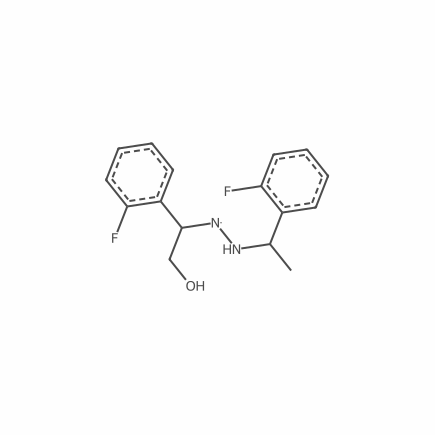 CC(N[N]C(CO)c1ccccc1F)c1ccccc1F